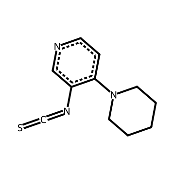 S=C=Nc1cnccc1N1CCCCC1